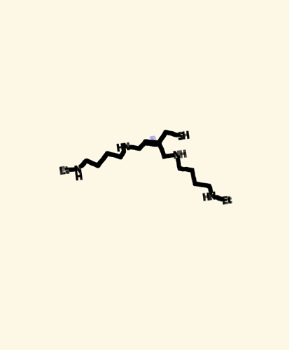 CCNCCCCNC/C=C(/CS)CNCCCCNCC